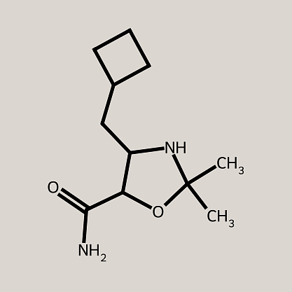 CC1(C)NC(CC2CCC2)C(C(N)=O)O1